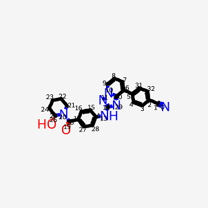 N#Cc1ccc(-c2cccn3nc(Nc4ccc(C(=O)N5CCCC[C@@H]5O)cc4)nc23)cc1